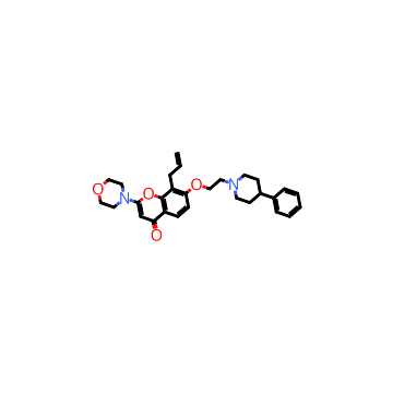 C=CCc1c(OCCN2CCC(c3ccccc3)CC2)ccc2c(=O)cc(N3CCOCC3)oc12